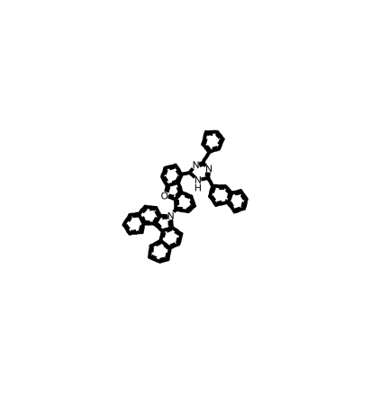 c1ccc(C2=NC(c3cccc4oc5c(-n6c7ccc8ccccc8c7c7c8ccccc8ccc76)cccc5c34)NC(c3ccc4ccccc4c3)=N2)cc1